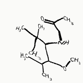 COC(C(C)C)C(NC(C)=O)C(C)(C)C